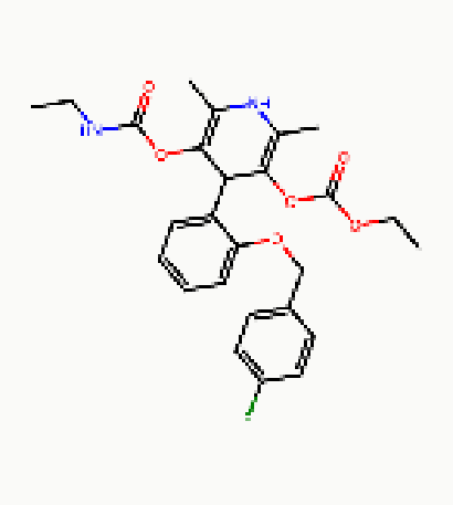 CCNC(=O)OC1=C(C)NC(C)=C(OC(=O)OCC)C1c1ccccc1OCc1ccc(F)cc1